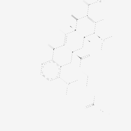 CN(C)c1ccc(O)c2c1C[C@@]1(C(=O)OCCOC(N)=O)C[C@H]3[C@H](N(C)C)C(O)=C(C(N)=O)C(=O)[C@@]3(O)C(O)=C1C2=O